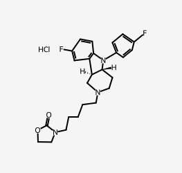 Cl.O=C1OCCN1CCCCCN1CC[C@@H]2[C@@H](C1)c1cc(F)ccc1N2c1ccc(F)cc1